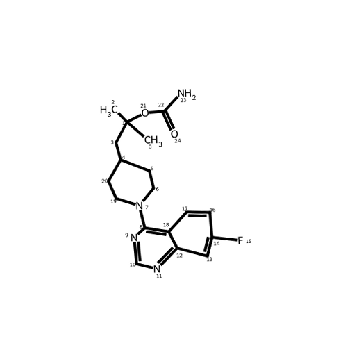 CC(C)(CC1CCN(c2ncnc3cc(F)ccc23)CC1)OC(N)=O